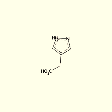 O=C(O)Cc1cn[nH]c1